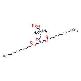 CCCCCCCCCCCCCC(=O)OCCN(CCOC(=O)CCCCCCCCCCCCC)C(=O)CCC[N+](C)(C)CCO.[Br-]